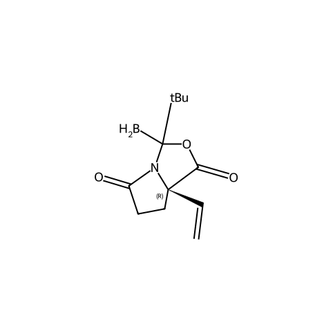 BC1(C(C)(C)C)OC(=O)[C@]2(C=C)CCC(=O)N12